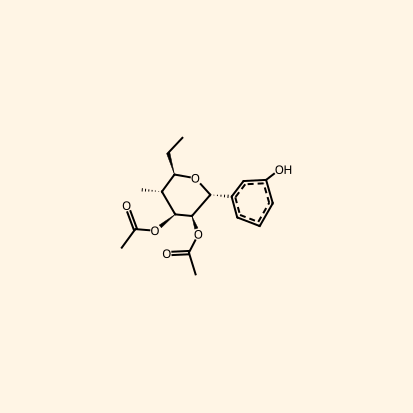 CC[C@H]1O[C@H](c2cccc(O)c2)[C@@H](OC(C)=O)[C@@H](OC(C)=O)[C@@H]1C